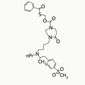 CCCN(CCCCN1CCN(C(=O)OCSC(=O)c2ccccc2)CCC1=O)C(C)Cc1ccc(S(C)(=O)=O)cc1